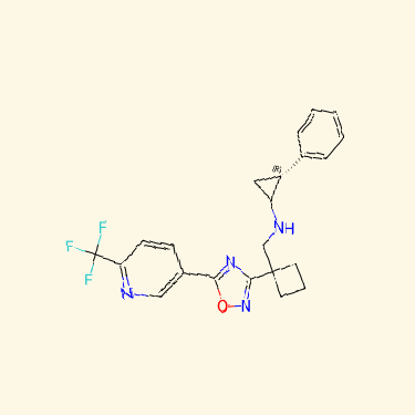 FC(F)(F)c1ccc(-c2nc(C3(CNC4C[C@@H]4c4ccccc4)CCC3)no2)cn1